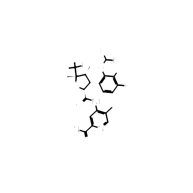 Cc1cnc(C(N)=O)cc1NC(=O)[C@H]1O[C@](C)(C(F)(F)F)[C@@H](C)[C@@H]1c1ccc(F)c(F)c1OC(F)F